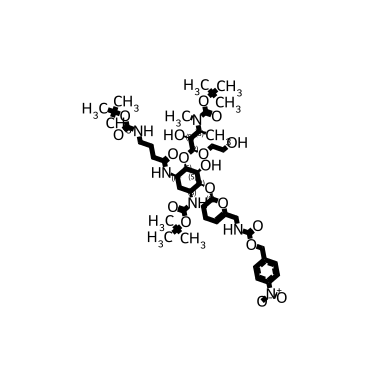 C[C@@H]([C@@H](O)[C@H](OCCO)O[C@@H]1[C@@H](O)[C@H](O[C@@H]2CCC=C(CNC(=O)OCc3ccc([N+](=O)[O-])cc3)O2)[C@@H](NC(=O)OC(C)(C)C)C[C@H]1NC(=O)CCCNC(=O)OC(C)(C)C)N(C)C(=O)OC(C)(C)C